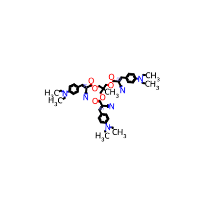 CCN(CC)c1ccc(/C=C(\C#N)C(=O)OCC(C)(COC(=O)/C(C#N)=C/c2ccc(N(CC)CC)cc2)COC(=O)/C(C#N)=C/c2ccc(N(CC)CC)cc2)cc1